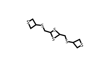 C1SCC1SCC1SC(CSC2CSC2)S1